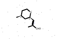 C/C(C=O)=C\[C@H]1C[C@@H](C)CCO1